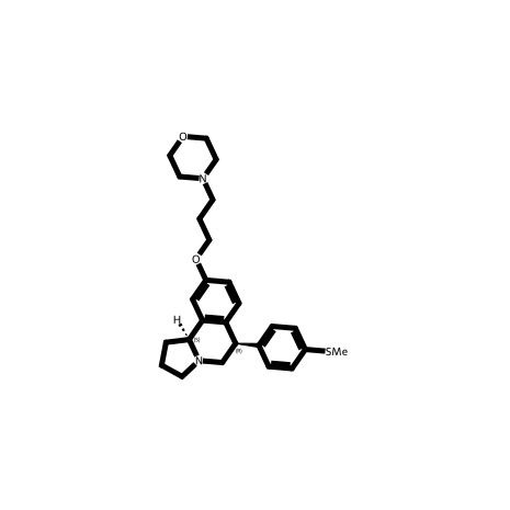 CSc1ccc([C@H]2CN3CCC[C@H]3c3cc(OCCCN4CCOCC4)ccc32)cc1